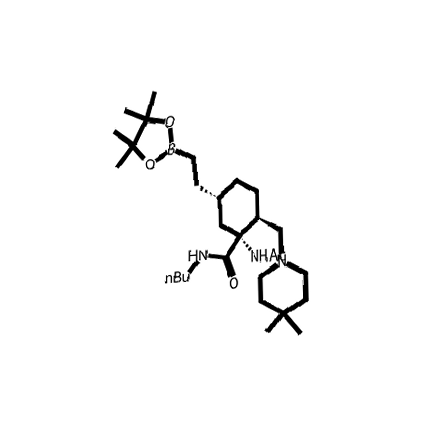 CCCCNC(=O)[C@@]1(NC(C)=O)C[C@H](CCB2OC(C)(C)C(C)(C)O2)CC[C@H]1CN1CCC(C)(C)CC1